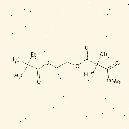 CCC(C)(C)C(=O)OCCOC(=O)C(C)(C)C(=O)OC